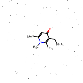 CNc1cc(=O)c(CNC(C)=O)c(C)n1C